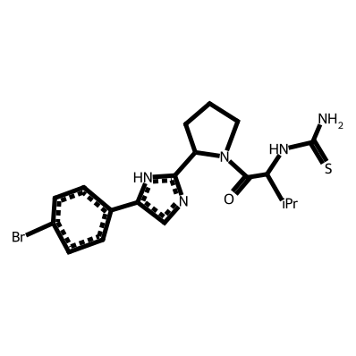 CC(C)C(NC(N)=S)C(=O)N1CCCC1c1ncc(-c2ccc(Br)cc2)[nH]1